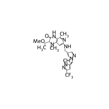 COC(C)C1C(=O)Nc2c(cc(NCc3cnn(Cc4cc(C(F)(F)F)nn4C)c3)nc2C)N1C